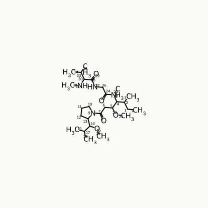 CCC(C)C(C(CC(=O)N1CCCC1C(OC)C(C)C)OC)N(C)C(=O)CNC(=O)C(NC)C(C)C